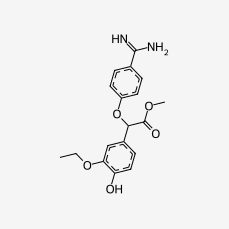 CCOc1cc(C(Oc2ccc(C(=N)N)cc2)C(=O)OC)ccc1O